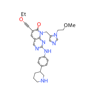 CCOC#Cc1cc2cnc(Nc3ccc(C4CCCNC4)cc3)nc2n(Cc2cncn2CCOC)c1=O